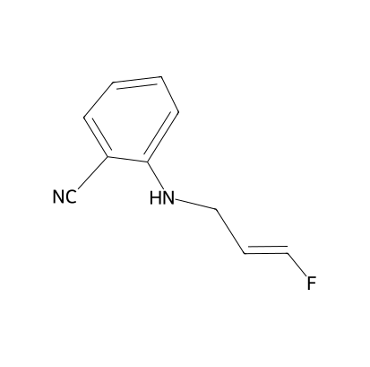 N#Cc1ccccc1NC/C=C/F